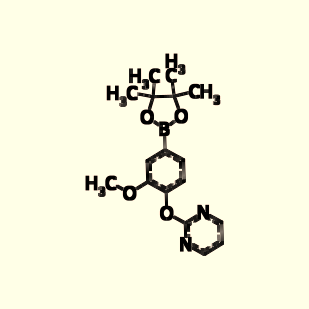 COc1cc(B2OC(C)(C)C(C)(C)O2)ccc1Oc1ncccn1